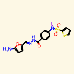 Nc1ccc(/C=N/NC(=O)c2ccc(N(I)S(=O)(=O)c3cccs3)cc2)o1